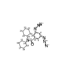 [N-]=[N+]=Nc1cc(N=[N+]=[N-])cc(C(=O)N(C2CCCCC2)C2CCCCC2)c1